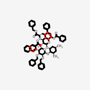 C[C@@H]1C[C@H](C)[C@@H](O[C@@H]2O[C@@H](C)[C@@H](OCc3ccccc3)[C@@H](OCc3ccccc3)[C@@H]2OCc2ccccc2)[C@H](O[C@@H]2O[C@H](COC(=O)c3ccccc3)[C@H](OC(=O)c3ccccc3)[C@H](O[C@@H](CC3CCCCC3)C(=O)OCc3ccccc3)[C@H]2OC(=O)c2ccccc2)C1